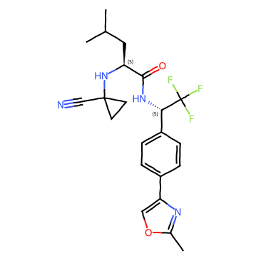 Cc1nc(-c2ccc([C@H](NC(=O)[C@H](CC(C)C)NC3(C#N)CC3)C(F)(F)F)cc2)co1